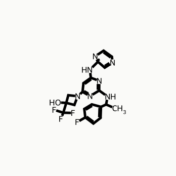 CC(Nc1nc(Nc2cnccn2)cc(N2CC(O)(C(F)(F)F)C2)n1)c1ccc(F)cc1